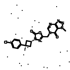 Cn1nnc2ncn(Cc3nn([C@H]4C[C@](C)(c5ccc(Cl)cc5)C4)c(=O)o3)c(=O)c21